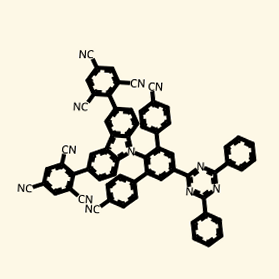 N#Cc1ccc(-c2cc(-c3nc(-c4ccccc4)nc(-c4ccccc4)n3)cc(-c3ccc(C#N)cc3)c2-n2c3ccc(-c4c(C#N)cc(C#N)cc4C#N)cc3c3cc(-c4c(C#N)cc(C#N)cc4C#N)ccc32)cc1